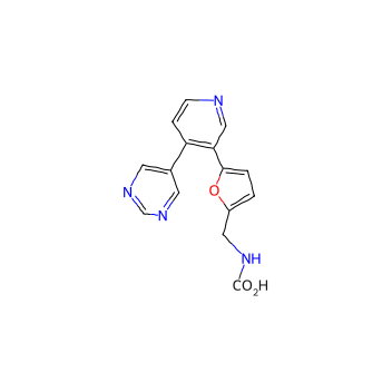 O=C(O)NCc1ccc(-c2cnccc2-c2cncnc2)o1